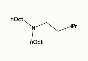 CCCCCCCCN(CCCCCCCC)CCC(C)C